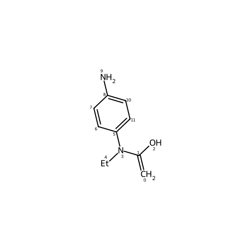 C=C(O)N(CC)c1ccc(N)cc1